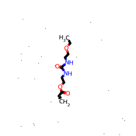 C=CC(=O)OCCNC(=O)NCCOCC